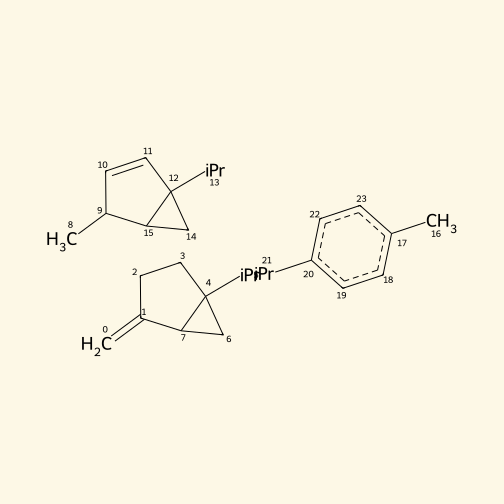 C=C1CCC2(C(C)C)CC12.CC1C=CC2(C(C)C)CC12.Cc1ccc(C(C)C)cc1